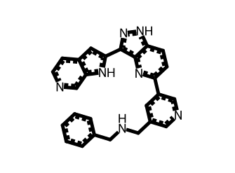 c1ccc(CNCc2cncc(-c3ccc4[nH]nc(-c5cc6ccncc6[nH]5)c4n3)c2)cc1